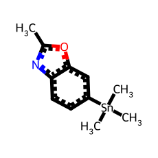 Cc1nc2cc[c]([Sn]([CH3])([CH3])[CH3])cc2o1